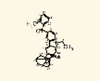 CCn1c2ccc(C(=O)c3ccccc3C)cc2c2cc(C34CC5CC(CC(C5)C3C=O)C4)ccc21